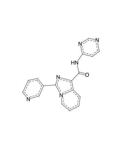 O=C(Nc1ccncn1)c1nc(-c2cccnc2)n2ccccc12